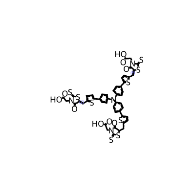 O=C(O)CN1C(=O)/C(=C/c2ccc(-c3ccc(N(c4ccc(-c5ccc(/C=C6/SC(=S)N(CC(=O)O)C6=O)s5)cc4)c4ccc(-c5ccc(CC6SC(=S)N(CC(=O)O)C6=O)s5)cc4)cc3)s2)SC1=S